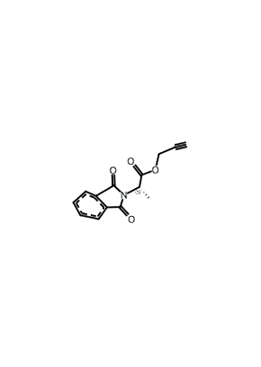 C#CCOC(=O)[C@H](C)N1C(=O)c2ccccc2C1=O